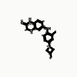 Cc1cc(N2CC(F)C2)ccc1Nc1ccc2c(c1)OCC(=O)N2